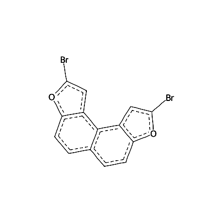 Brc1cc2c(ccc3ccc4oc(Br)cc4c32)o1